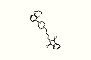 O=C1c2ccccc2C(=O)N1CCCCN1CCN(c2cccc3c2OCCO3)CC1